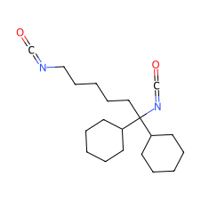 O=C=NCCCCCC(N=C=O)(C1CCCCC1)C1CCCCC1